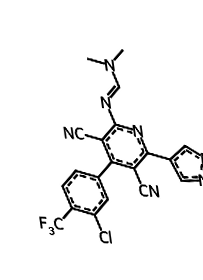 CN(C)/C=N/c1nc(-c2cnn(C)c2)c(C#N)c(-c2ccc(C(F)(F)F)c(Cl)c2)c1C#N